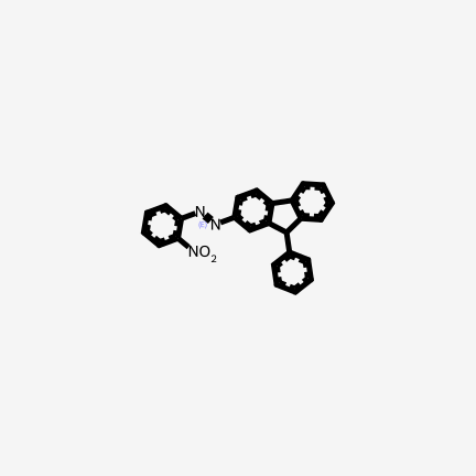 O=[N+]([O-])c1ccccc1/N=N/c1ccc2c(c1)C(c1ccccc1)c1ccccc1-2